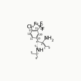 C/C=C(\N)[C@H](CNC(C)C)c1ccc(Cl)c(C(F)(F)F)c1